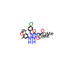 COC(=O)[C@H](CN1C(=O)NC(Nc2ccc(OC(C)C)c(C)c2)N(Cc2ccc(Cl)cc2)C1=O)OC